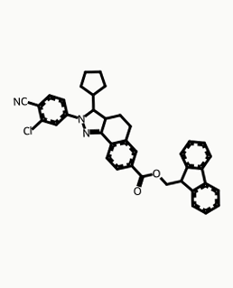 N#Cc1ccc(N2N=C3c4ccc(C(=O)OCC5c6ccccc6-c6ccccc65)cc4CCC3C2C2CCCC2)cc1Cl